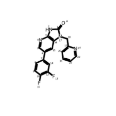 O=c1[nH]c2ncc(-c3ccc(F)c(F)c3)cc2n1Cc1ccccn1